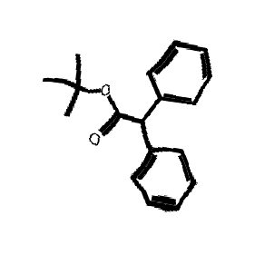 CC(C)(C)OC(=O)C(c1ccccc1)c1ccccc1